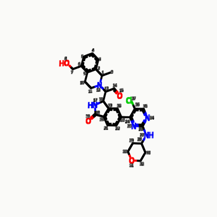 CC1c2cccc(CO)c2CCN1C(C=O)C1NC(=O)c2ccc(-c3nc(NC4CCOCC4)ncc3Cl)cc21